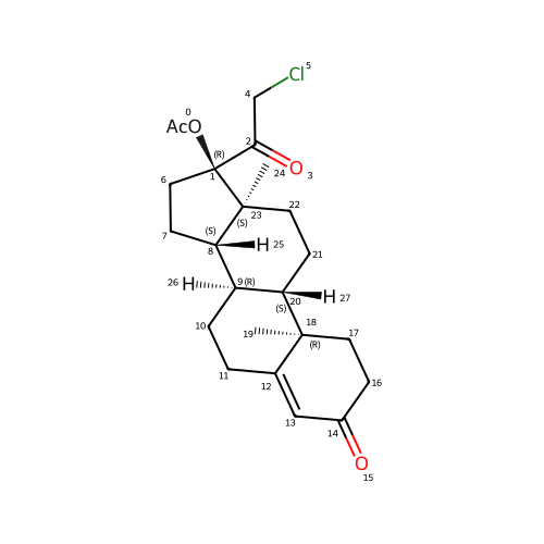 CC(=O)O[C@]1(C(=O)CCl)CC[C@H]2[C@@H]3CCC4=CC(=O)CC[C@]4(C)[C@H]3CC[C@@]21C